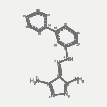 NC1=NN=C(N)C1=NNc1cccc(-c2ccccc2)c1